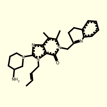 C/C=C/Cn1c(N2CCCC(N)C2)nc2c(C)c(C)n(CC3=Nc4ccccc4CC3)c(=O)c21